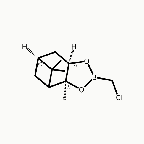 CC1(C)C2C[C@H]1C[C@H]1OB(CCl)O[C@@]21C